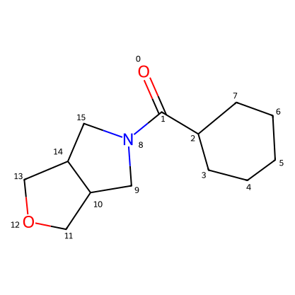 O=C(C1CCCCC1)N1CC2COCC2C1